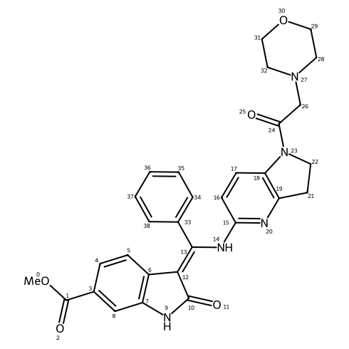 COC(=O)c1ccc2c(c1)NC(=O)/C2=C(\Nc1ccc2c(n1)CCN2C(=O)CN1CCOCC1)c1ccccc1